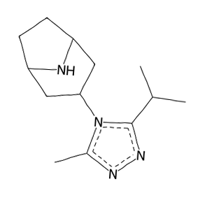 Cc1nnc(C(C)C)n1C1CC2CCC(C1)N2